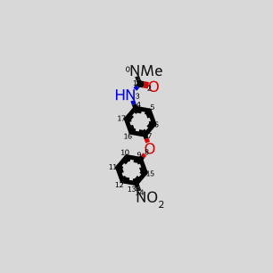 CNC(=O)Nc1ccc(Oc2cccc([N+](=O)[O-])c2)cc1